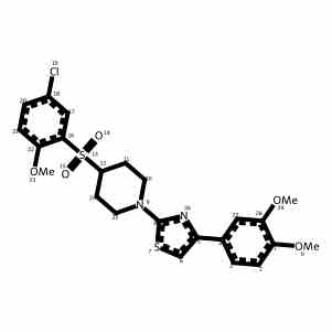 COc1ccc(-c2csc(N3CCC(S(=O)(=O)c4cc(Cl)ccc4OC)CC3)n2)cc1OC